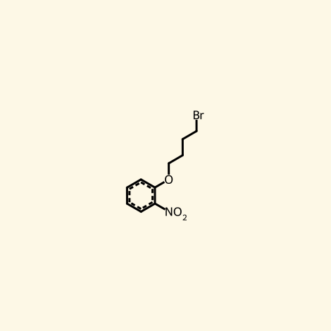 O=[N+]([O-])c1ccccc1OCCCCBr